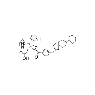 O=C(O)CCC(CNC(=O)c1ccc(CN2CCC3(CCN(C4CCCCC4)CC3)C2)cc1)(Cc1ncc[nH]1)Cc1ncc[nH]1